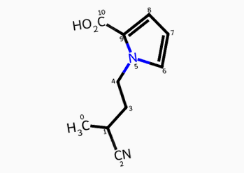 CC(C#N)CCn1cccc1C(=O)O